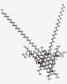 CCCCCCCCCCCCCCCCCCCCCCCCCCCCC(CC(C(=O)O)C([c+]1c2ccc(N(CCCC)CCCC)cc2oc2cc(N(CCCC)CCCC)ccc21)C(CC)CCCCCCCCCCCCCCCCCCCCCCCCCCCC)C([c+]1c2ccc(N(CCCC)CCCC)cc2oc2cc(N(CCCC)CCCC)ccc21)C(CC)C(=O)O